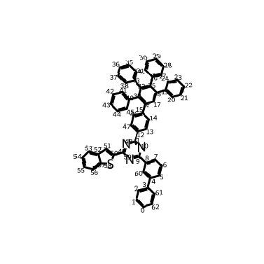 c1ccc(-c2cccc(-c3nc(-c4ccc(-c5cc(-c6ccccc6)c(-c6ccccc6)c(-c6ccccc6)c5-c5ccccc5)cc4)nc(-c4cc5ccccc5s4)n3)c2)cc1